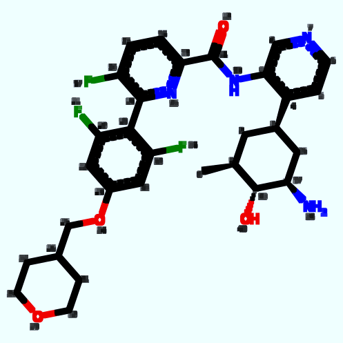 C[C@H]1C[C@@H](c2ccncc2NC(=O)c2ccc(F)c(-c3c(F)cc(OCC4CCOCC4)cc3F)n2)C[C@@H](N)[C@@H]1O